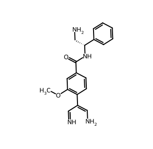 COc1cc(C(=O)N[C@H](CN)c2ccccc2)ccc1/C(C=N)=C/N